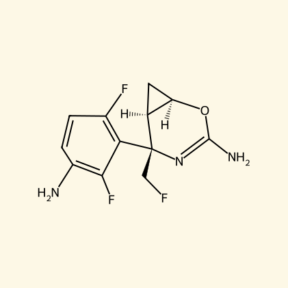 NC1=N[C@](CF)(c2c(F)ccc(N)c2F)[C@H]2C[C@H]2O1